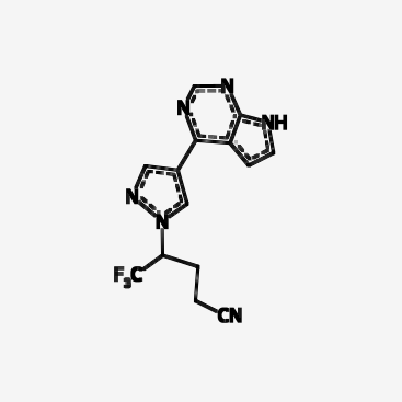 N#CCCC(n1cc(-c2ncnc3[nH]ccc23)cn1)C(F)(F)F